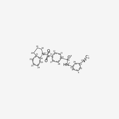 [C-]#[N+]c1cccc(NC(=O)c2ccc(S(=O)(=O)N3CCCc4ccccc43)cc2)c1